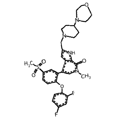 Cn1cc(-c2cc(S(C)(=O)=O)ccc2Oc2ccc(F)cc2F)c2cc(CN3CCC(N4CCOCC4)CC3)[nH]c2c1=O